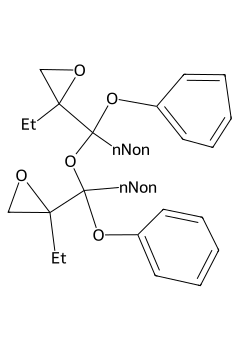 CCCCCCCCCC(Oc1ccccc1)(OC(CCCCCCCCC)(Oc1ccccc1)C1(CC)CO1)C1(CC)CO1